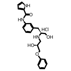 Cl.O=C(Nc1cccc(C[C@@H](CO)NC[C@H](O)COc2ccccc2)c1)c1ccc[nH]1